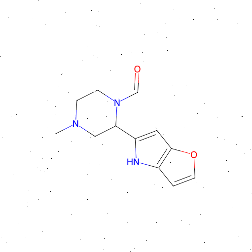 CN1CCN(C=O)C(c2cc3occc3[nH]2)C1